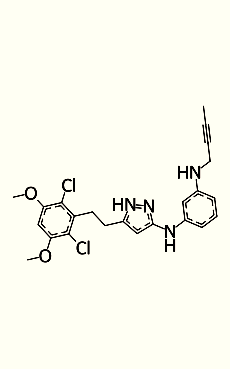 CC#CCNc1cccc(Nc2cc(CCc3c(Cl)c(OC)cc(OC)c3Cl)[nH]n2)c1